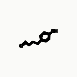 O=[C]CCCc1ccc(O)cc1